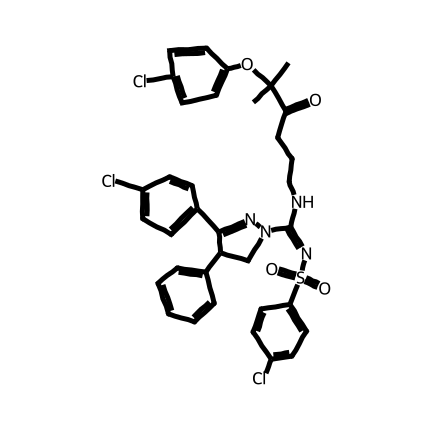 CC(C)(Oc1ccc(Cl)cc1)C(=O)CCCN/C(=N/S(=O)(=O)c1ccc(Cl)cc1)N1CC(c2ccccc2)C(c2ccc(Cl)cc2)=N1